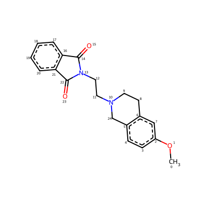 COc1ccc2c(c1)CCN(CCN1C(=O)c3ccccc3C1=O)C2